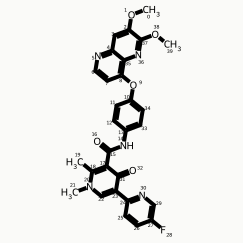 COc1cc2nccc(Oc3ccc(NC(=O)c4c(C)n(C)cc(-c5ccc(F)cn5)c4=O)cc3)c2nc1OC